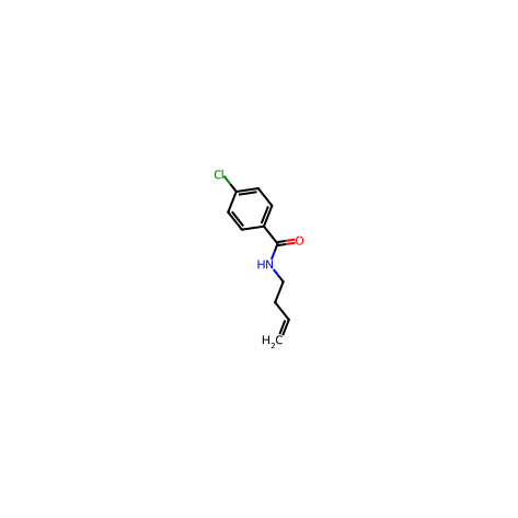 C=CCCNC(=O)c1ccc(Cl)cc1